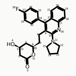 O=C1C[C@@H](O)C[C@@H](CCc2c(N3CCCC3)nc3ccccc3c2-c2ccc(F)cc2)O1